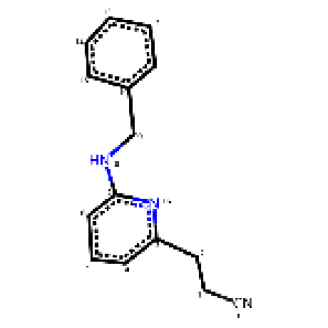 N#CCCc1cccc(NCc2ccccc2)n1